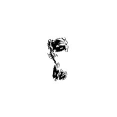 Cc1sc2c(c1C)C(c1ccc(Cl)cc1)=N[C@@H](CC(=O)NNC(=O)CCCCNc1cccc3c1CN(C1CCC(=O)NC1=O)C3=O)c1nnc(C)n1-2